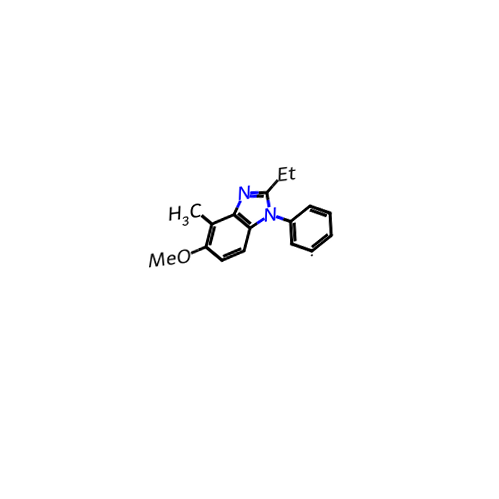 CCc1nc2c(C)c(OC)ccc2n1-c1c[c]ccc1